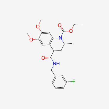 CCOC(=O)N1c2cc(OC)c(OC)cc2C(C(=O)NCc2cccc(F)c2)CC1C